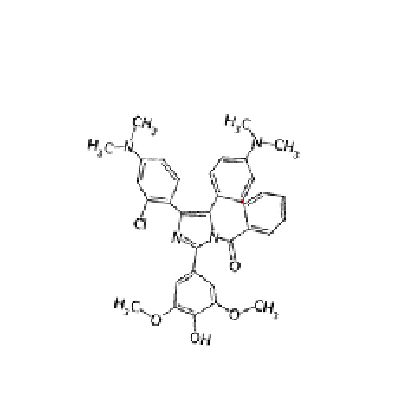 COc1cc(-c2nc(-c3ccc(N(C)C)cc3Cl)c(-c3ccc(N(C)C)cc3)n2C(=O)c2ccccc2)cc(OC)c1O